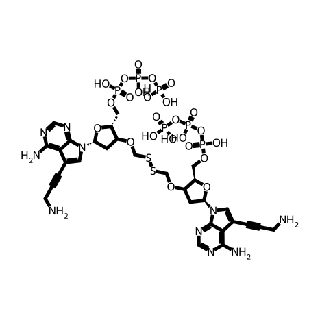 NCC#Cc1cn([C@H]2CC(OCSSCOC3C[C@H](n4cc(C#CCN)c5c(N)ncnc54)O[C@@H]3COP(=O)(O)OP(=O)(O)OP(=O)(O)O)[C@@H](COP(=O)(O)OP(=O)(O)OP(=O)(O)O)O2)c2ncnc(N)c12